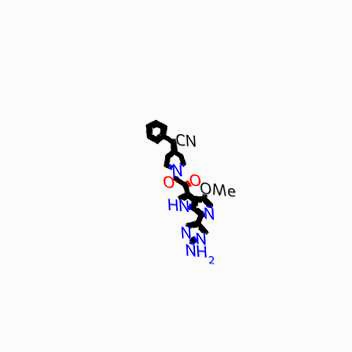 COc1cnc(-c2cnc(N)nc2)c2[nH]cc(C(=O)C(=O)N3CCC(=C(C#N)c4ccccc4)CC3)c12